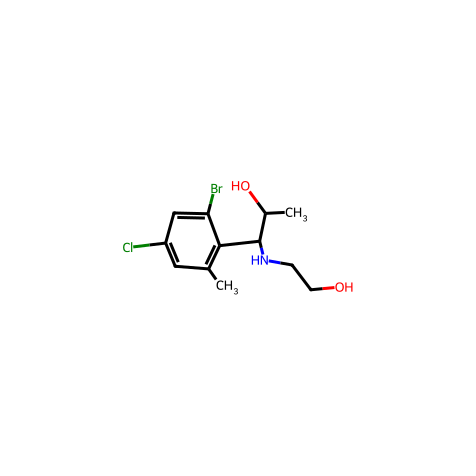 Cc1cc(Cl)cc(Br)c1C(NCCO)C(C)O